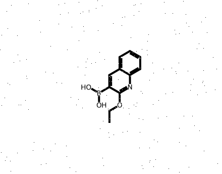 CCOc1nc2ccccc2cc1B(O)O